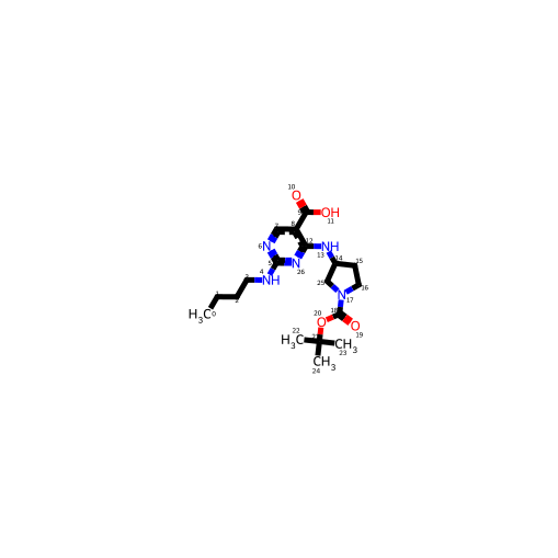 CCCCNc1ncc(C(=O)O)c(NC2CCN(C(=O)OC(C)(C)C)C2)n1